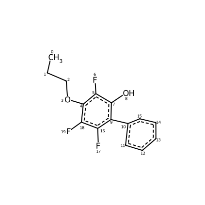 CCCOc1c(F)c(O)c(-c2ccccc2)c(F)c1F